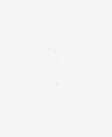 O[Si](O)(O)O.P.[AlH3]